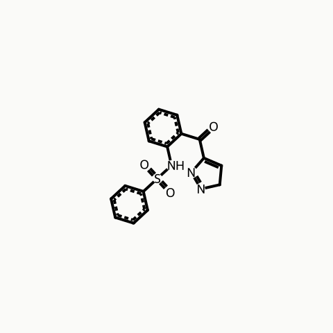 O=C(C1=CCN=N1)c1ccccc1NS(=O)(=O)c1ccccc1